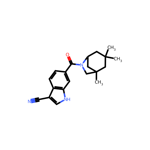 CC1(C)CC2CC(C)(CN2C(=O)c2ccc3c(C#N)c[nH]c3c2)C1